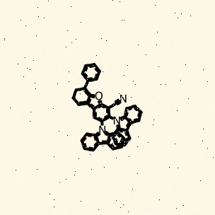 N#Cc1c(-n2c3ccccc3c3ccccc32)c(-n2c3ccccc3c3ccccc32)cc2c3c(oc12)=C(c1ccccc1)CCC=3